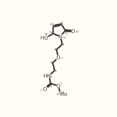 CC(C)(C)OC(=O)NCCOCCN1C(=O)C=CC1O